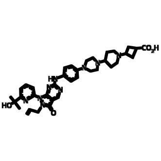 C=CCn1c(=O)c2cnc(Nc3ccc(N4CCN(C5CCN(C6CC(C(=O)O)C6)CC5)CC4)cc3)nc2n1-c1cccc(C(C)(C)O)n1